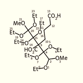 CCOC(OC)C(OCC)(OCC)C(CCCC(=O)O)(C(=O)O)C(OCC)(OCC)C(OC)(OCC)OCC